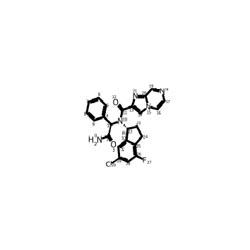 NC(=O)C(c1ccccc1)N(C(=O)c1cn2ccncc2n1)[C@@H]1CCc2c(F)cc(Cl)cc21